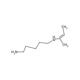 CC=C(C)[SiH2]CCCCCN